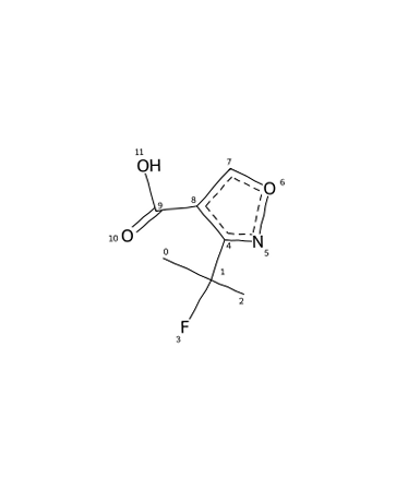 CC(C)(F)c1nocc1C(=O)O